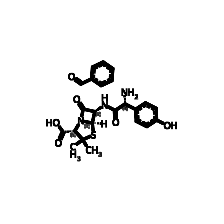 CC1(C)S[C@@H]2[C@H](NC(=O)[C@H](N)c3ccc(O)cc3)C(=O)N2[C@H]1C(=O)O.O=Cc1ccccc1